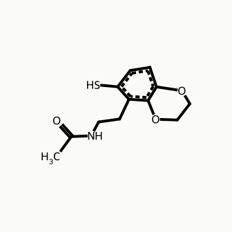 CC(=O)NCCc1c(S)ccc2c1OCCO2